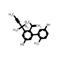 C=C(C)c1c(-c2cc(S)ccc2C)cc(S)cc1C(C)(C)C#CC